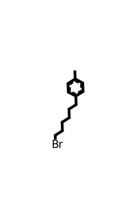 Cc1ccc(CCCCCCBr)cc1